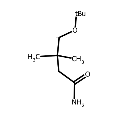 CC(C)([CH]OC(C)(C)C)CC(N)=O